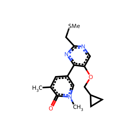 CSCc1ncc(OCC2CC2)c(-c2cc(C)c(=O)n(C)c2)n1